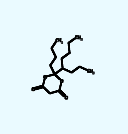 CCCCC(CCC)C1(CCCC)OC(=O)CC(=O)O1